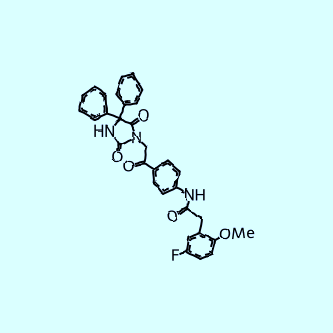 COc1ccc(F)cc1CC(=O)Nc1ccc(C(=O)CN2C(=O)NC(c3ccccc3)(c3ccccc3)C2=O)cc1